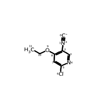 [C-]#[N+]c1cnc(Cl)cc1OCC